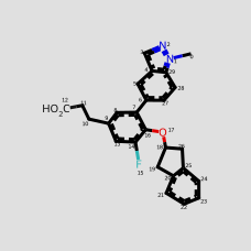 Cn1ncc2cc(-c3cc(CCC(=O)O)cc(F)c3OC3Cc4ccccc4C3)ccc21